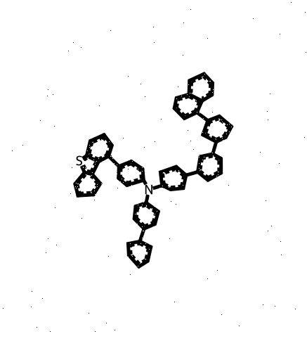 c1ccc(-c2ccc(N(c3ccc(-c4cccc(-c5cccc(-c6cccc7ccccc67)c5)c4)cc3)c3ccc(-c4cccc5sc6ccccc6c45)cc3)cc2)cc1